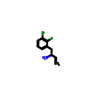 C=CC(N)Cc1cccc(Br)c1F